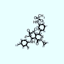 Cn1c(=O)c(F)c(Nc2ccc(I)cc2F)c2c(=O)n(C3CC3)nc(-c3cccc(NS(C)(=O)=O)c3)c21